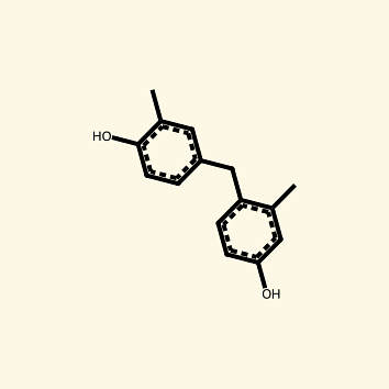 Cc1cc(Cc2ccc(O)cc2C)ccc1O